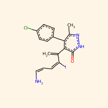 C=C(/C(I)=C\C=C/N)c1c(-c2ccc(Cl)cc2)c(C)n[nH]c1=O